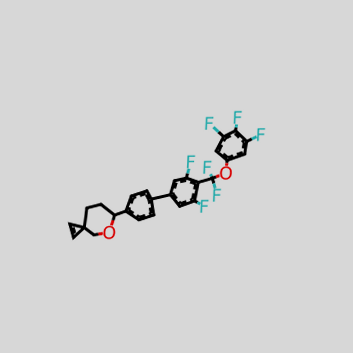 Fc1cc(OC(F)(F)c2c(F)cc(-c3ccc(C4CCC5(C=C5)CO4)cc3)cc2F)cc(F)c1F